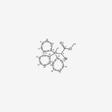 COC(=O)C(Br)P(C)(c1ccccc1)(c1ccccc1)c1ccccc1